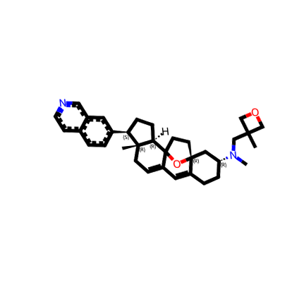 CN(CC1(C)COC1)[C@@H]1CCC2=CC3=CC[C@]4(C)[C@@H](c5ccc6ccncc6c5)CC[C@H]4C34CC[C@]2(C1)O4